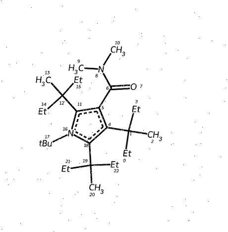 CCC(C)(CC)c1c(C(=O)N(C)C)c(C(C)(CC)CC)n(C(C)(C)C)c1C(C)(CC)CC